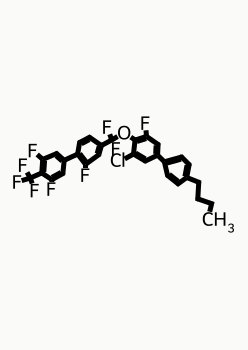 CCCCc1ccc(-c2cc(F)c(OC(F)(F)c3ccc(-c4cc(F)c(C(F)(F)F)c(F)c4)c(F)c3)c(Cl)c2)cc1